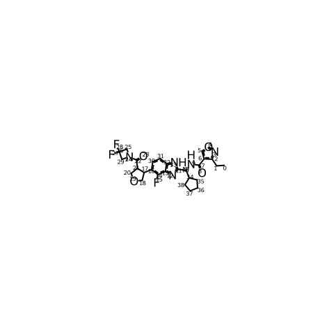 CCc1nocc1C(=O)N[C@H](c1nc2c(F)c(C3COCC3C(=O)N3CC(F)(F)C3)ccc2[nH]1)C1CCCC1